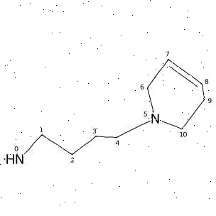 [NH]CCCCN1CC=CCC1